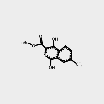 CCCCOC(=O)c1nc(O)c2cc(C(F)(F)F)ccc2c1O